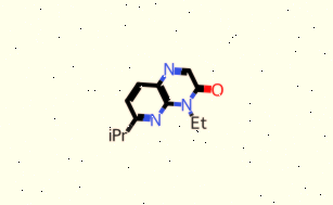 CCn1c(=O)cnc2ccc(C(C)C)nc21